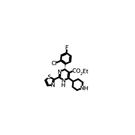 CCOC(=O)C1=C(C2CCNCC2)NC(c2nccs2)=N[C@@H]1c1ccc(F)cc1Cl